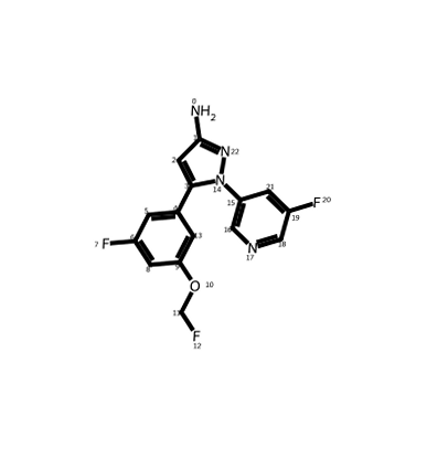 Nc1cc(-c2cc(F)cc(OCF)c2)n(-c2cncc(F)c2)n1